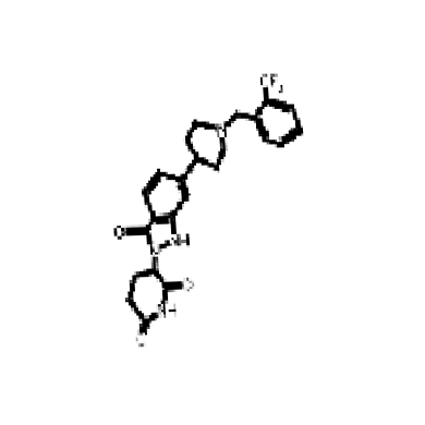 O=C1CCC(n2[nH]c3cc(C4CCN(Cc5ccccc5C(F)(F)F)CC4)ccc3c2=O)C(=O)N1